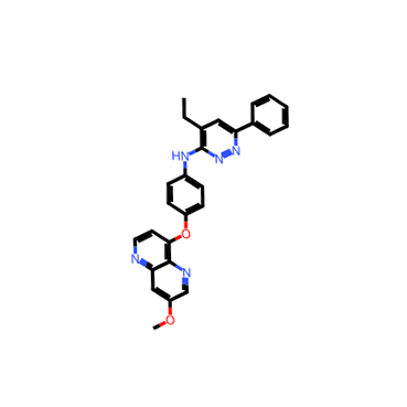 CCc1cc(-c2ccccc2)nnc1Nc1ccc(Oc2ccnc3cc(OC)cnc23)cc1